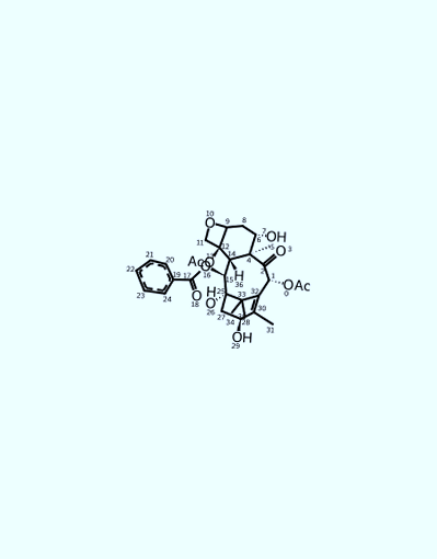 CC(=O)O[C@H]1C(=O)[C@]2(C)[C@@H](O)CC3OC[C@@]3(OC(C)=O)[C@H]2[C@H](OC(=O)c2ccccc2)[C@]2(O)C[C@H](O)C(C)=C1C2(C)C